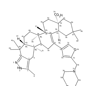 Cc1[nH]nc2c1C[C@]1(C)C3CC(c4coc(CN5CCOCC5)c4)=C4[C@@H]5CC(C)(C)CC[C@]5(C(=O)O)CC[C@@]4(C)[C@]3(C)CC[C@H]1C2(C)C